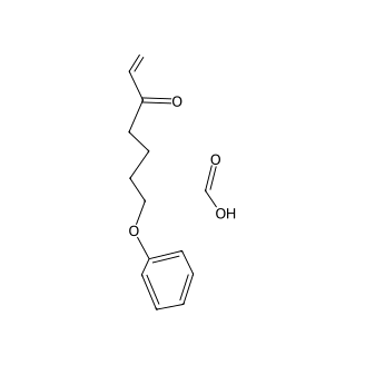 C=CC(=O)CCCCOc1ccccc1.O=CO